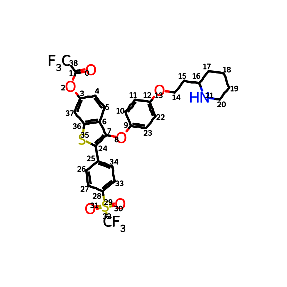 O=C(Oc1ccc2c(Oc3ccc(OCCC4CCCCN4)cc3)c(-c3ccc(S(=O)(=O)C(F)(F)F)cc3)sc2c1)C(F)(F)F